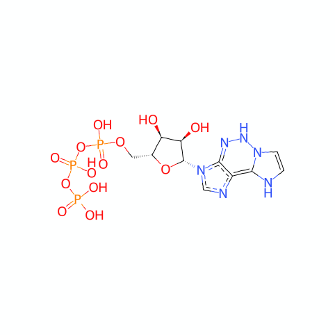 O=P(O)(O)OP(=O)(O)OP(=O)(O)OC[C@H]1O[C@@H](n2cnc3c2=NNN2C=CNC=32)[C@H](O)[C@@H]1O